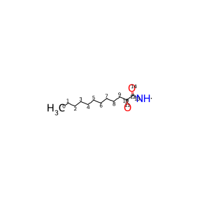 CCCCCCCCCCC(=O)C([NH])=O